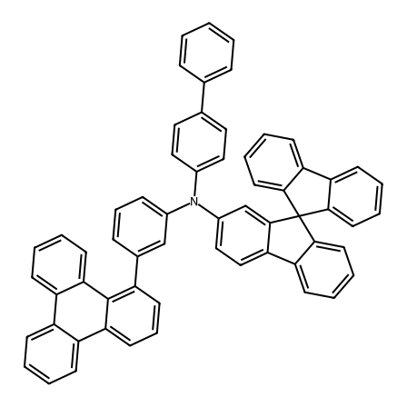 c1ccc(-c2ccc(N(c3cccc(-c4cccc5c6ccccc6c6ccccc6c45)c3)c3ccc4c(c3)C3(c5ccccc5-c5ccccc53)c3ccccc3-4)cc2)cc1